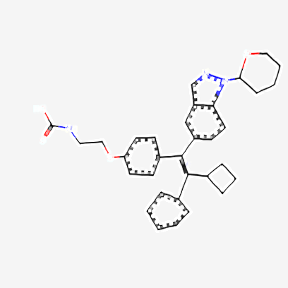 O=C(O)NCCOc1ccc(/C(=C(\c2ccccc2)C2CCC2)c2ccc3c(cnn3C3CCCCO3)c2)cc1